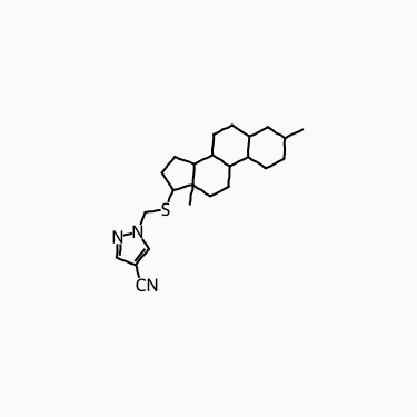 CC1CCC2C(CCC3C2CCC2(C)C(SCn4cc(C#N)cn4)CCC32)C1